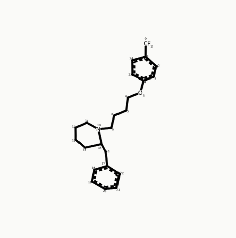 FC(F)(F)c1ccc(OCCCCN2CCCCC2Cc2ccccc2)cc1